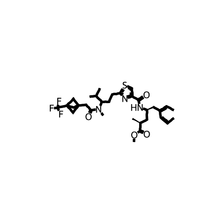 C/C=C\C(=C/C)C[C@@H](C[C@H](C)C(=O)OC)NC(=O)c1csc(CCC(C(C)C)N(C)C(=O)CC23CC(C(F)(F)F)(C2)C3)n1